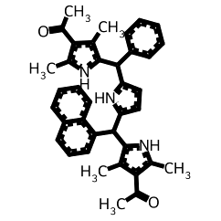 CC(=O)c1c(C)[nH]c(C(c2ccccc2)c2ccc(C(c3[nH]c(C)c(C(C)=O)c3C)c3cccc4ccccc34)[nH]2)c1C